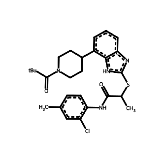 Cc1ccc(NC(=O)C(C)Sc2nc3cccc(C4CCN(C(=O)C(C)(C)C)CC4)c3[nH]2)c(Cl)c1